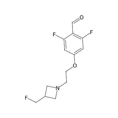 O=Cc1c(F)cc(OCCN2CC(CF)C2)cc1F